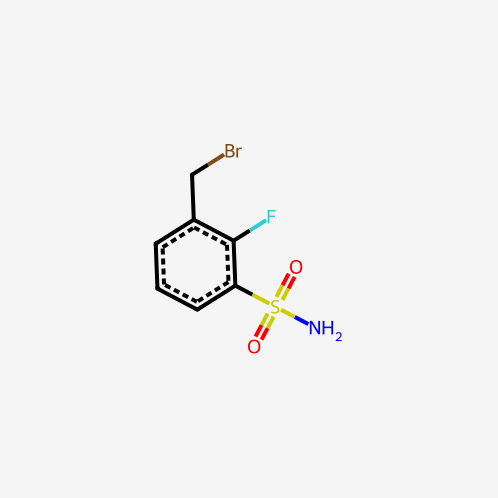 NS(=O)(=O)c1cccc(CBr)c1F